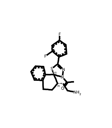 CC(=O)N1N=C(c2ccc(F)cc2F)S[C@@]12c1ccccc1CC[C@H]2CCN